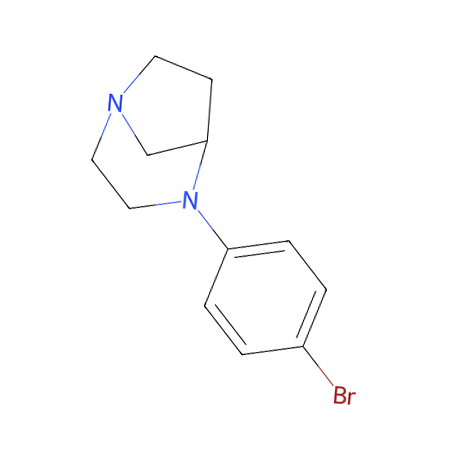 Brc1ccc(N2CCN3CCC2C3)cc1